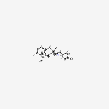 Cc1ccc(C[C@](C)(/N=C/c2ccc(Cl)cc2)C(=O)O)c(F)c1F